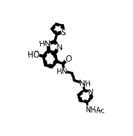 CC(=O)Nc1ccc(NCCNC(=O)c2ccc(O)c3[nH]c(-c4cccs4)nc23)nc1